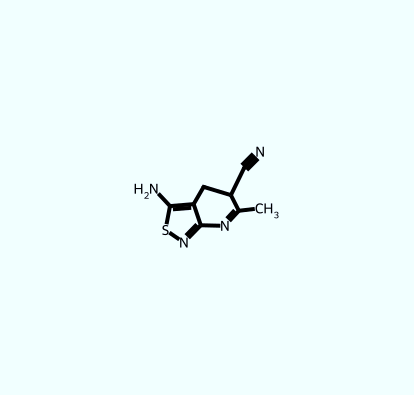 CC1=Nc2nsc(N)c2CC1C#N